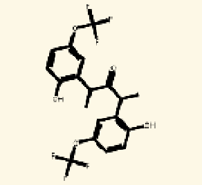 CC(C(=O)C(C)c1cc(OC(F)(F)F)ccc1O)c1cc(OC(F)(F)F)ccc1O